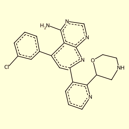 Nc1ncnc2nc(-c3cccnc3C3CNCCO3)cc(-c3cccc(Cl)c3)c12